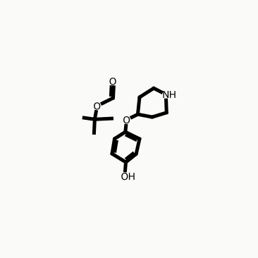 CC(C)(C)OC=O.Oc1ccc(OC2CCNCC2)cc1